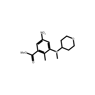 COC(=O)c1cc([N+](=O)[O-])cc(N(C)C2CCOCC2)c1C